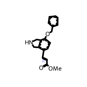 COC(=O)/C=C/c1ccc(OCc2ccccc2)c2c1CNC2